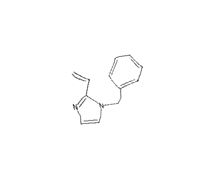 C=Cc1nccn1Cc1ccccc1